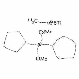 CCCCCC.CO[Si](OC)(C1CCCC1)C1CCCC1